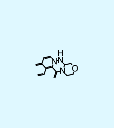 C=CC1=C2C(=C)N3CCOCC3NN2C=CC1=C